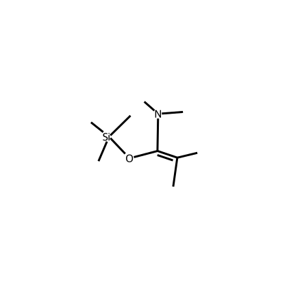 CC(C)=C(O[Si](C)(C)C)N(C)C